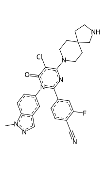 Cn1ncc2cc(-n3c(-c4ccc(C#N)c(F)c4)nc(N4CCC5(CCNC5)CC4)c(Cl)c3=O)ccc21